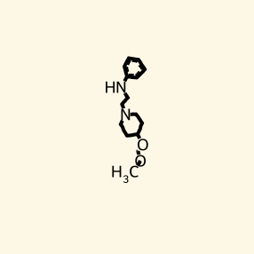 COCOC1CCN(CCNc2ccccc2)CC1